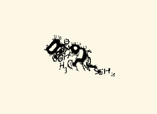 CCCc1nc(CSC)sc1Cc1ccc(NC(=O)c2ccccc2S(=O)(=O)O)cc1